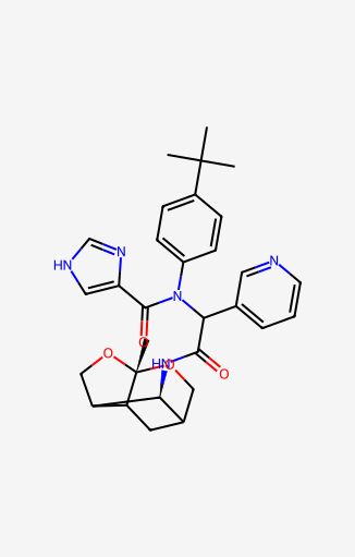 CC(C)(C)c1ccc(N(C(=O)c2c[nH]cn2)C(C(=O)N[C@H]2C3CO[C@@]4(C)OCC2C4C3)c2cccnc2)cc1